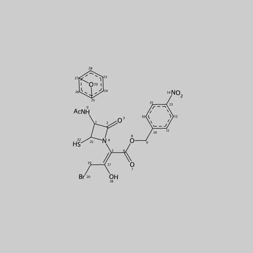 CC(=O)NC1C(=O)N(C(C(=O)OCc2ccc([N+](=O)[O-])cc2)=C(O)CBr)C1S.c1cc2cc(c1)O2